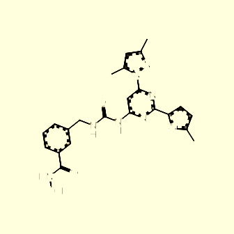 Cc1cc(C)n(-c2cc(NC(=O)NCc3cccc(C(=O)NO)c3)nc(-c3ccc(C)o3)n2)n1